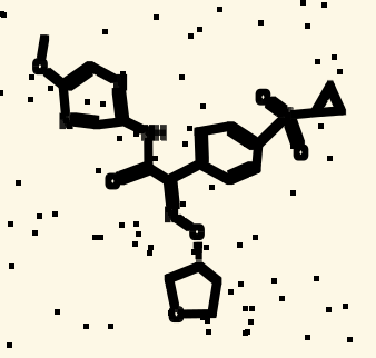 COc1cnc(NC(=O)/C(=N/O[C@@H]2CCOC2)c2ccc(S(=O)(=O)C3CC3)cc2)cn1